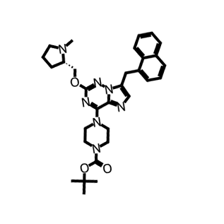 CN1CCC[C@H]1COc1nc(N2CCN(C(=O)OC(C)(C)C)CC2)c2ncc(Cc3cccc4ccccc34)n2n1